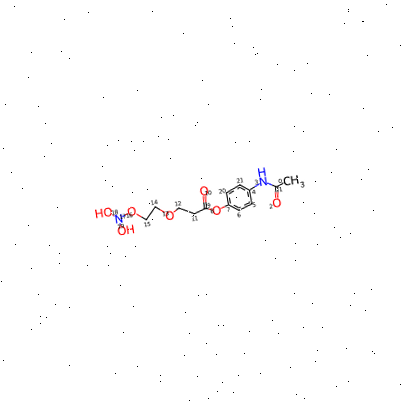 CC(=O)Nc1ccc(OC(=O)CCOCCON(O)O)cc1